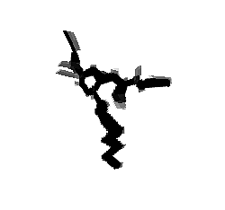 CCCCCCCN1CCN(SI)CC1CC(=O)OCC